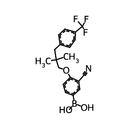 CC(C)(COc1ccc(B(O)O)cc1C#N)Cc1ccc(C(F)(F)F)cc1